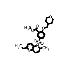 CCc1ccc2c(n1)CCC(C)N2S(=O)(=O)c1ccc(OCC2CCOCC2)c(C(=O)OC)c1